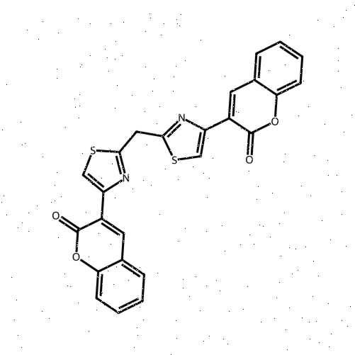 O=c1oc2ccccc2cc1-c1csc(Cc2nc(-c3cc4ccccc4oc3=O)cs2)n1